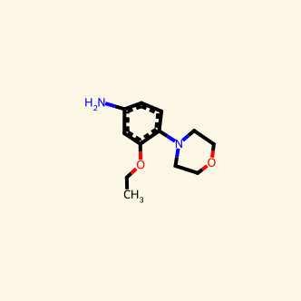 CCOc1cc(N)ccc1N1CCOCC1